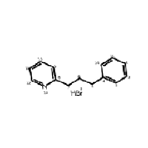 Br.c1ccc(CCCc2ccccn2)cc1